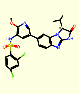 COc1ncc(-c2ccc3nc4n(c3c2)[C@@H](C(C)C)C(=O)N4)cc1NS(=O)(=O)c1ccc(F)cc1F